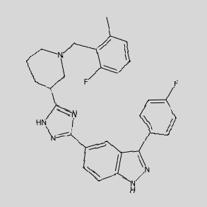 Cc1cccc(F)c1CN1CCCC(c2nc(-c3ccc4[nH]nc(-c5ccc(F)cc5)c4c3)n[nH]2)C1